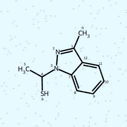 Cc1nn(C(C)S)c2ccccc12